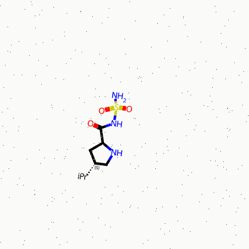 CC(C)[C@H]1CNC(C(=O)NS(N)(=O)=O)C1